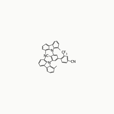 Cc1cccc2c3cccc(C)c3n(-c3cc(-c4ccc(C#N)cc4C(F)(F)F)cc(-n4c5c(C)cccc5c5cccc(C)c54)c3C#N)c12